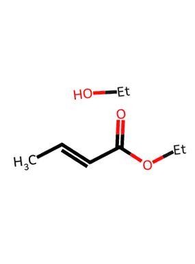 C/C=C/C(=O)OCC.CCO